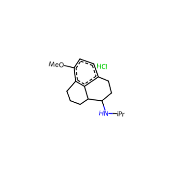 COc1ccc2c3c1CCCC3C(NC(C)C)CC2.Cl